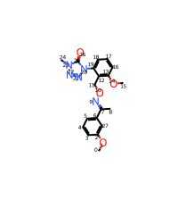 COc1cccc(C(C)=NOCc2c(OC)cccc2-n2nnn(C)c2=O)c1